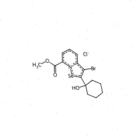 COC(=O)c1cccc2c(Br)c(C3(O)CCCCC3)[se][n+]12.[Cl-]